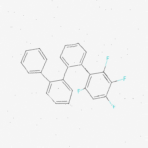 Fc1cc(F)c(-c2ccccc2-c2ccccc2-c2ccccc2)c(F)c1F